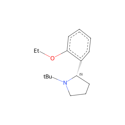 CCOc1ccccc1[C@@H]1CCCN1C(C)(C)C